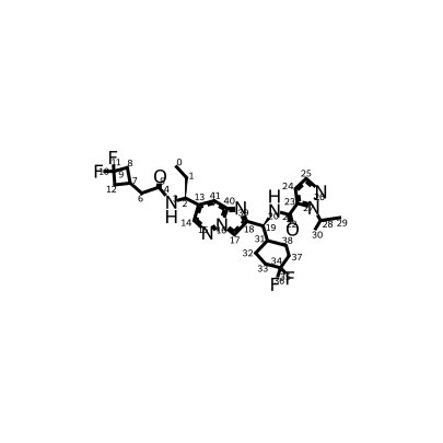 CC[C@H](NC(=O)CC1CC(F)(F)C1)c1cnn2cc([C@@H](NC(=O)c3ccnn3C(C)C)C3CCC(F)(F)CC3)nc2c1